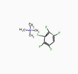 C[N+](C)(C)C.Fc1cc(F)c(F)c(F)c1F